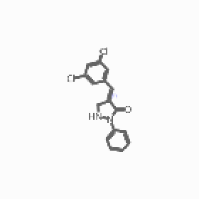 O=C1/C(=C/c2cc(Cl)cc(Cl)c2)CNN1c1ccccc1